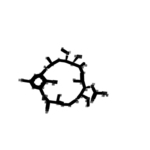 CO[C@H]1C[C@H](C)Cc2cc(F)cc(c2O)NC(=O)/C(C)=C/CC[C@H](OC)[C@@H](OC(N)=O)/C(C)=C/[C@H](C)[C@H]1O